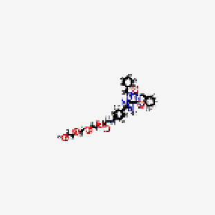 COCCOCCOCCOC(=O)/C=C/c1ccc(-c2nc3c(c(=O)n(CC4CCCCC4)c(=O)n3CC3CCCCC3)n2C)cc1